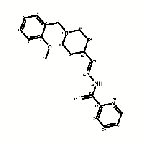 COc1ccccc1CN1CCC(C=NNC(=O)c2ccccn2)CC1